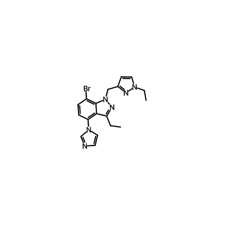 CCc1nn(Cc2ccn(CC)n2)c2c(Br)ccc(-n3ccnc3)c12